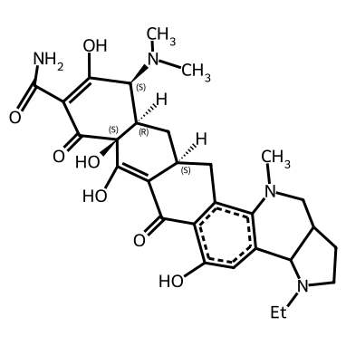 CCN1CCC2CN(C)c3c(cc(O)c4c3C[C@@H]3C[C@@H]5[C@H](N(C)C)C(O)=C(C(N)=O)C(=O)[C@@]5(O)C(O)=C3C4=O)C21